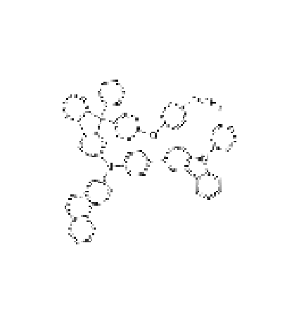 C=Cc1ccc(Oc2ccc(C3(c4ccccc4)c4ccccc4-c4ccc(N(c5ccc(-c6ccc7c(c6)c6ccccc6n7-c6ccccc6)cc5)c5ccc6c(ccc7ccccc76)c5)cc43)cc2)cc1